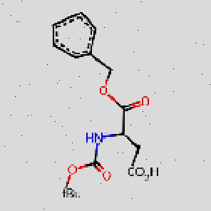 CC(C)(C)OC(=O)N[C@H](CC(=O)O)C(=O)OCc1ccccc1